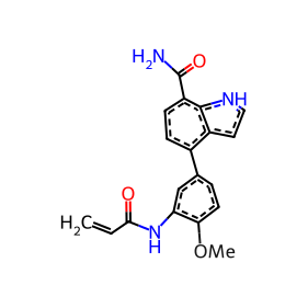 C=CC(=O)Nc1cc(-c2ccc(C(N)=O)c3[nH]ccc23)ccc1OC